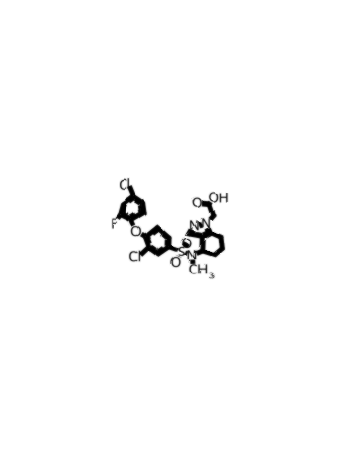 CN(C1CCCc2c1cnn2CC(=O)O)S(=O)(=O)c1ccc(Oc2ccc(Cl)cc2F)c(Cl)c1